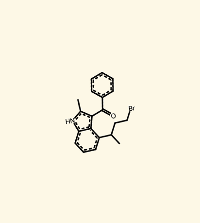 Cc1[nH]c2cccc(C(C)CCBr)c2c1C(=O)c1ccccc1